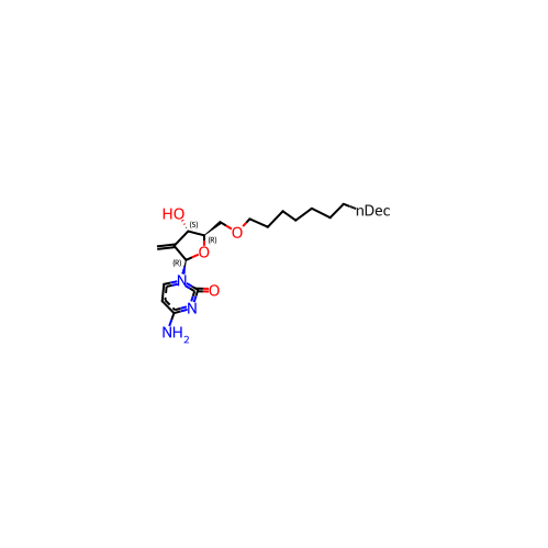 C=C1[C@H](n2ccc(N)nc2=O)O[C@H](COCCCCCCCCCCCCCCCCC)[C@H]1O